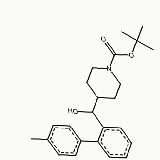 Cc1ccc(-c2ccccc2C(O)C2CCN(C(=O)OC(C)(C)C)CC2)cc1